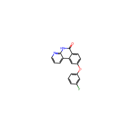 O=c1[nH]c2ncccc2c2cc(Oc3cccc(F)c3)ccc12